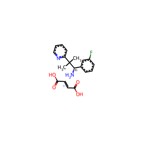 CC(C)(c1ccccn1)[C@H](N)c1cccc(F)c1.O=C(O)/C=C/C(=O)O